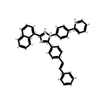 C(=C\c1ccc(-c2nc(-c3cccc4ccccc34)nn2-c2ccc(-c3ccccn3)cc2)cc1)/c1ccccc1